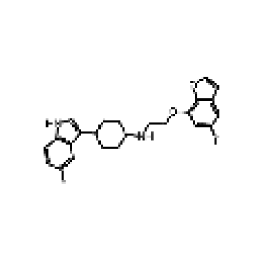 Fc1cc(OCCNC2CCC(c3c[nH]c4ccc(F)cc34)CC2)c2occc2c1